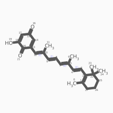 CC1=C(/C=C/C(C)=C/C=C/C(C)=C/C2=CC(=O)C=C(O)C2=O)C(C)(C)CCC1